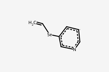 C=C[Se]c1c[c]cnc1